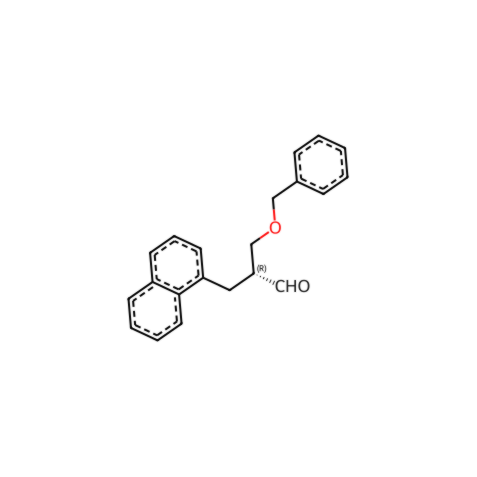 O=C[C@@H](COCc1ccccc1)Cc1cccc2ccccc12